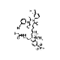 CC1(C)\C(=C/C=C/C=C2/C(=O)N(c3cccc(N)c3)C(=S)N(c3cccc(C#N)c3)C2=O)N(CCCNC(=O)CI)c2ccc(S(=O)(=O)O)cc21